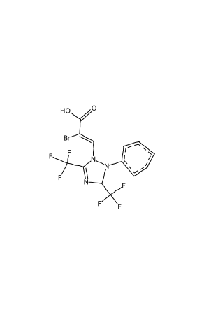 O=C(O)/C(Br)=C/N1C(C(F)(F)F)=NC(C(F)(F)F)N1c1ccccc1